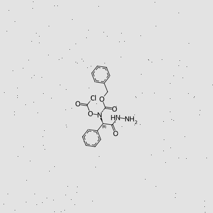 NNC(=O)[C@@H](c1ccccc1)N(OC(=O)Cl)C(=O)OCc1ccccc1